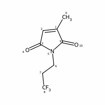 CC1=CC(=O)N(CCC(F)(F)F)C1=O